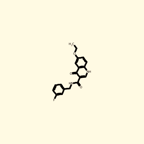 CCOc1ccc2[nH]cc(C(=O)NCc3cccc(F)c3)c(=O)c2c1